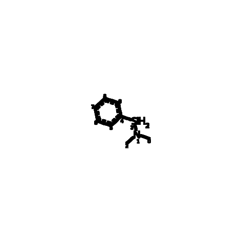 CN(C)[SiH2]c1ccccc1